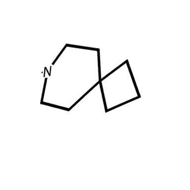 C1CC2(C1)CC[N]CC2